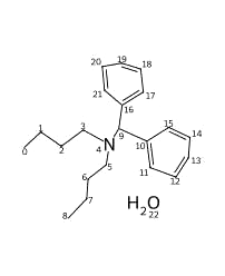 CCCCN(CCCC)C(c1ccccc1)c1ccccc1.O